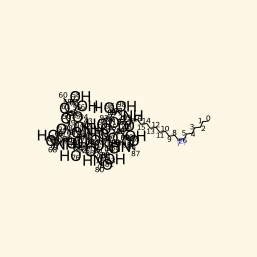 CCCCCC/C=C\CCCCCCCCCC(=O)NC1[C@H](O[C@@H]2C(CO)O[C@@H](O[C@@H]3C(CO)O[C@@H](O[C@H]4[C@H](O)C(NC(C)=O)[C@H](O[C@@H]5C(COC6=C(OC)C(O)[C@H](O)C(C)O6)O[C@@H](O)C(NC(C)=O)[C@H]5O)OC4(C)CO)C(NC(C)=O)[C@H]3O)C(NC(C)=O)[C@H]2O)OC(CO)[C@@H](O)[C@@H]1O